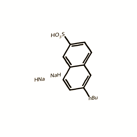 CCCCc1ccc2cc(S(=O)(=O)O)ccc2c1.[NaH].[NaH]